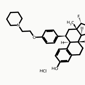 C[C@]12C[C@H](c3ccc(OCCN4CCCCC4)cc3)[C@@H]3c4ccc(O)cc4CC[C@H]3[C@@H]1CC[C@H]2F.Cl